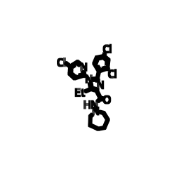 CCc1c(C(=O)NN2CCCCCC2)nc(-c2ccc(Cl)cc2Cl)n1-c1ccc(Cl)cn1